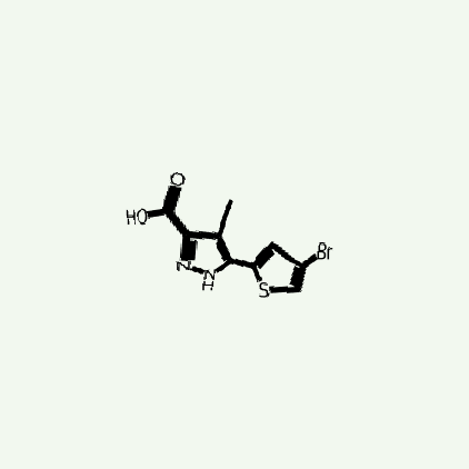 Cc1c(C(=O)O)n[nH]c1-c1cc(Br)cs1